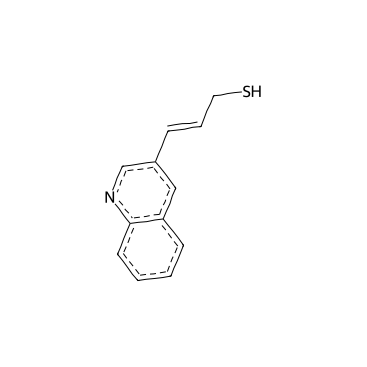 SCC=Cc1cnc2ccccc2c1